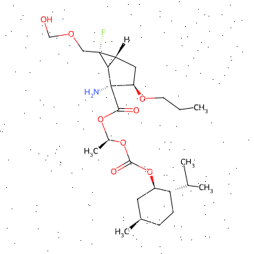 CCCO[C@@H]1C[C@@H]2C([C@]1(N)C(=O)O[C@H](C)OC(=O)O[C@@H]1C[C@H](C)CC[C@H]1C(C)C)[C@@]2(F)COCO